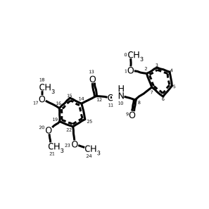 COc1ccccc1C(=O)NCC(=O)c1cc(OC)c(OC)c(OC)c1